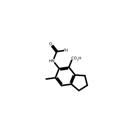 [2H]C(=O)Nc1c(C)cc2c(c1C(=O)O)CCC2